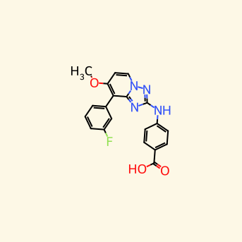 COc1ccn2nc(Nc3ccc(C(=O)O)cc3)nc2c1-c1cccc(F)c1